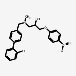 CN(Cc1ccc(-c2ccccc2Cl)cc1)CC(O)COc1ccc([N+](=O)[O-])cc1